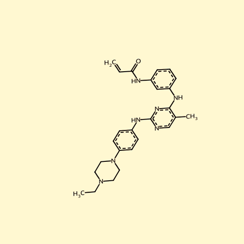 C=CC(=O)Nc1cccc(Nc2nc(Nc3ccc(N4CCN(CC)CC4)cc3)ncc2C)c1